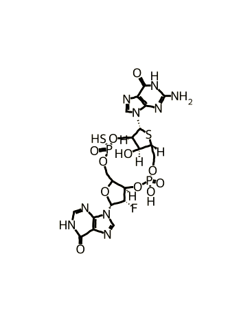 Nc1nc2c(ncn2[C@@H]2S[C@@H]3COP(=O)(O)O[C@@H]4C(COP(=O)(S)O[C@@H]2[C@@H]3O)O[C@@H](n2cnc3c(=O)[nH]cnc32)[C@H]4F)c(=O)[nH]1